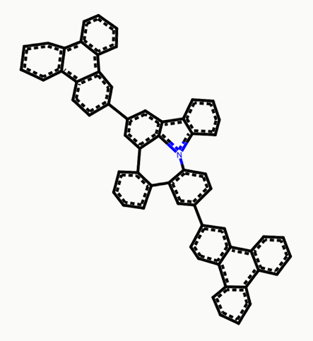 c1ccc2c(c1)-c1cc(-c3ccc4c5ccccc5c5ccccc5c4c3)ccc1-n1c3ccccc3c3cc(-c4ccc5c6ccccc6c6ccccc6c5c4)cc-2c31